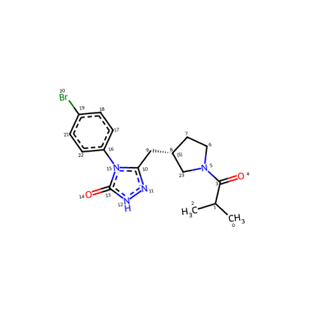 CC(C)C(=O)N1CC[C@@H](Cc2n[nH]c(=O)n2-c2ccc(Br)cc2)C1